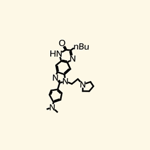 CCCCc1nc2cc3c(cc2[nH]c1=O)nc(-c1ccc(N(C)C)cc1)n3CCN1CCCC1